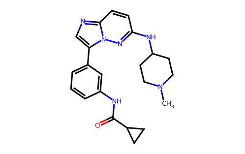 CN1CCC(Nc2ccc3ncc(-c4cccc(NC(=O)C5CC5)c4)n3n2)CC1